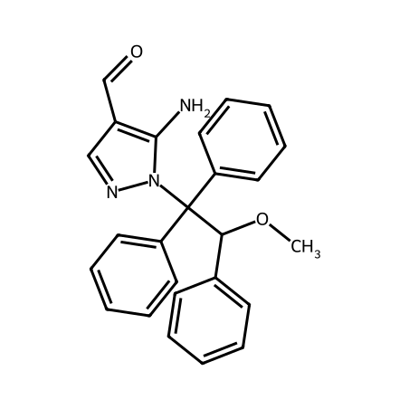 COC(c1ccccc1)C(c1ccccc1)(c1ccccc1)n1ncc(C=O)c1N